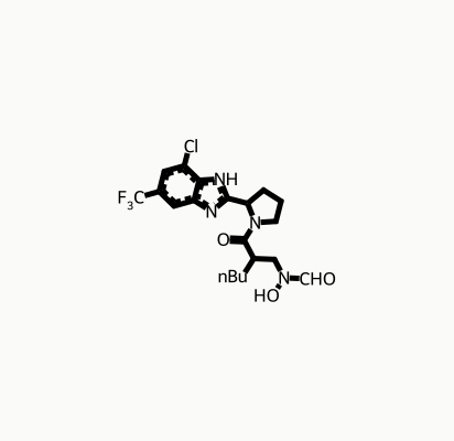 CCCCC(CN(O)C=O)C(=O)N1CCCC1c1nc2cc(C(F)(F)F)cc(Cl)c2[nH]1